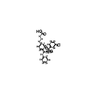 O=C(O)CCCc1ccc(C(Cc2ccccc2)NS(=O)(=O)c2cccc(Cl)c2)cc1